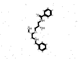 O=C(NC[C@H](O)CO[C@@H](CO)CNCc1ccccc1)c1ccccc1